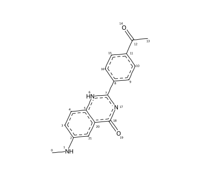 CNc1ccc2[nH]c(-c3ccc(C(C)=O)cc3)nc(=O)c2c1